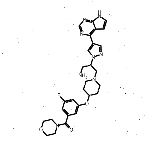 NCC(CN1CCC(Oc2cc(F)cc(C(=O)N3CCOCC3)c2)CC1)n1cc(-c2ncnc3[nH]ccc23)cn1